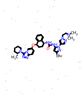 C[C@@H]1CCCCN1c1nnc2ccc(OC3CC[C@H](NC(=O)Nc4cc(C(C)(C)C)nn4-c4cnn(CCN(C)C)c4)c4ccccc43)cn12